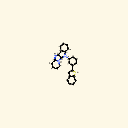 c1cc(-c2cc3ccccc3s2)cc(-n2c3ccccc3c3nc4ccccn4c32)c1